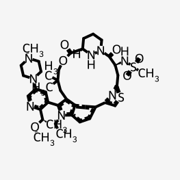 CCn1c(-c2cc(N3CCN(C)CC3)cnc2[C@H](C)OC)c2c3cc(ccc31)-c1csc(n1)C[C@H](NS(C)(=O)=O)C(=O)N1CCC[C@H](N1)C(=O)OCC(C)(C)C2